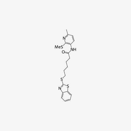 CSc1nc(C)ccc1NC(=O)CCCCCSc1nc2ccccc2s1